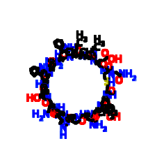 CCCC[C@H]1C(=O)N(C)[C@@H](CCCC)C(=O)N[C@@H](CCC(=O)O)C(=O)NC(C(=O)NCC(N)=O)CSCC(=O)N[C@@H](Cc2ccc(O)cc2)C(=O)N(C)[C@@H](C)C(=O)N[C@@H](CC(N)=O)C(=O)N2CCC[C@H]2C(=O)N[C@@H](Cc2c[nH]cn2)C(=O)N[C@@H](CC(N)=O)C(=O)N2C[C@H](O)C[C@H]2C(=O)N[C@@H](Cc2c[nH]c3ccccc23)C(=O)N[C@@H](CN)C(=O)N[C@@H](Cc2c[nH]c3ccccc23)C(=O)N1C